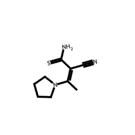 CC(=C(C#N)C(N)=S)N1CCCC1